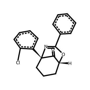 O=C1[C@H]2CCC[C@]1(c1ccccc1Cl)N=C(c1ccccc1)O2